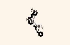 COc1nccc2oc(-c3cnc4ccc(OCC(N)COCc5ccccc5)nn34)cc12